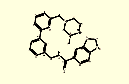 C[C@H]1CN(Cc2cccc(-c3cccc(CNC(=O)c4ccc5c(c4)OCO5)c3)n2)CCN1